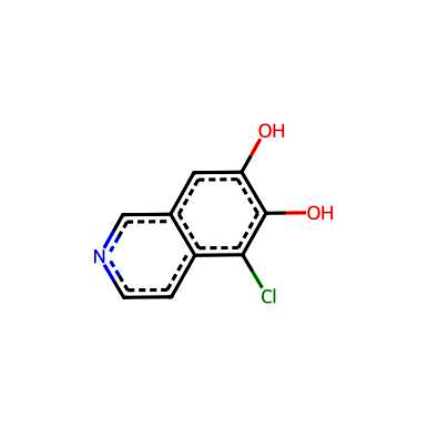 Oc1cc2cnccc2c(Cl)c1O